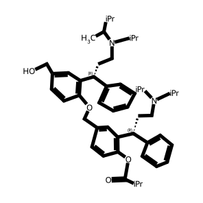 CC(C)C(=O)Oc1ccc(COc2ccc(CO)cc2[C@H](CCN(C(C)C)C(C)C(C)C)c2ccccc2)cc1[C@H](CCN(C(C)C)C(C)C)c1ccccc1